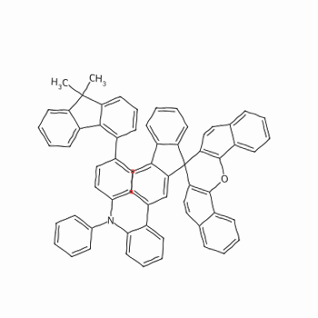 CC1(C)c2ccccc2-c2c(-c3ccc(N(c4ccccc4)c4ccccc4-c4ccc5c(c4)C4(c6ccccc6-5)c5ccc6ccccc6c5Oc5c4ccc4ccccc54)cc3)cccc21